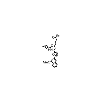 CCC(=O)CCCCCC(NC(=O)C1CN(C)C1)c1nnc(-c2cc(OC)c3ccccc3n2)o1